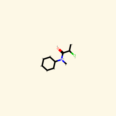 CC(Cl)C(=O)N(C)C1CCCCC1